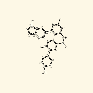 Cc1nc(NC(C)c2ccc(C)c(-c3cnc(N)nc3)c2)cc(-c2ccc3occ(C)c3c2)n1